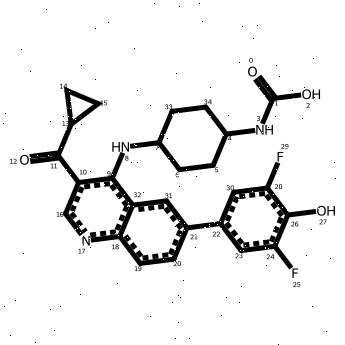 O=C(O)NC1CCC(Nc2c(C(=O)C3CC3)cnc3ccc(-c4cc(F)c(O)c(F)c4)cc23)CC1